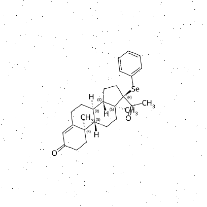 CC(=O)[C@@]1([Se]c2ccccc2)CC[C@H]2[C@@H]3CCC4=CC(=O)CC[C@]4(C)[C@H]3CC[C@@]21C